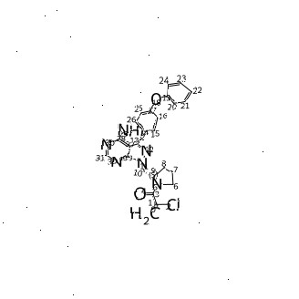 C=C(Cl)C(=O)N1CCC[C@H]1Cn1nc(-c2ccc(Oc3ccccc3)cc2)c2c(N)ncnc21